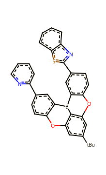 CC(C)(C)c1cc2c3c(c1)Oc1ccc(-c4nc5ccccc5s4)cc1B3c1cc(-c3ccccn3)ccc1O2